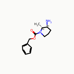 C[C@@H]1[C@@H](N)CCCN1C(=O)OCc1ccccc1